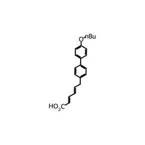 CCCCOc1ccc(-c2ccc(C/C=C/C=C/C(=O)O)cc2)cc1